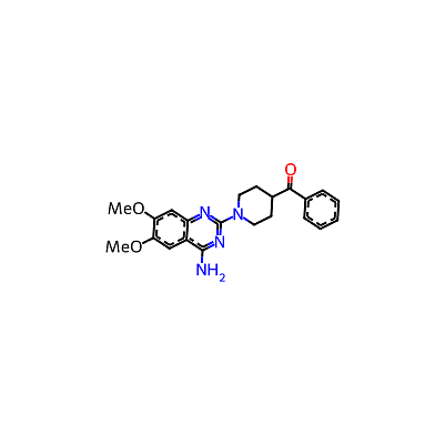 COc1cc2nc(N3CCC(C(=O)c4ccccc4)CC3)nc(N)c2cc1OC